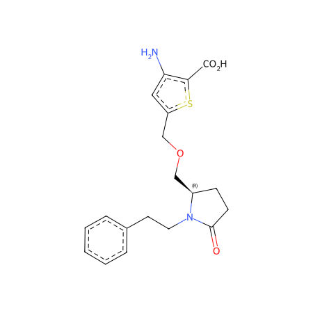 Nc1cc(COC[C@H]2CCC(=O)N2CCc2ccccc2)sc1C(=O)O